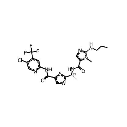 CCCNc1ncc(C(=O)N[C@H](C)c2ncc(C(=O)Nc3cc(C(F)(F)F)c(Cl)cn3)s2)n1C